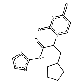 O=C(Nc1nccs1)C(CC1CCCC1)n1ccc(=O)[nH]c1=O